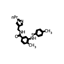 CCCn1cc(CNC(=O)c2ccc(C)c(NSc3ccc(C)cc3)c2)cn1